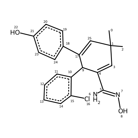 CC1(C)C=C(/C(N)=N/O)C(c2ccccc2Cl)C(c2ccc(O)cc2)=C1